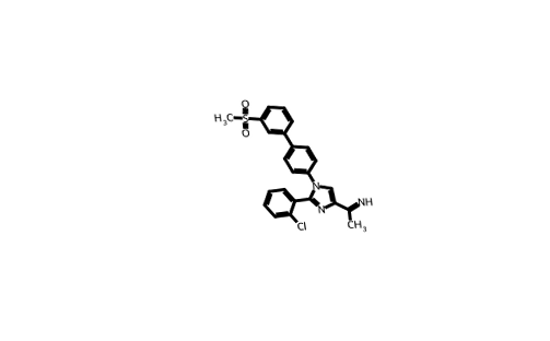 CC(=N)c1cn(-c2ccc(-c3cccc(S(C)(=O)=O)c3)cc2)c(-c2ccccc2Cl)n1